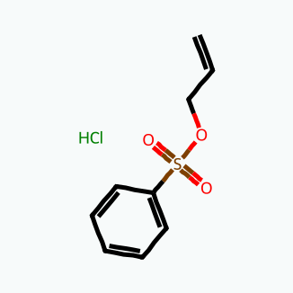 C=CCOS(=O)(=O)c1ccccc1.Cl